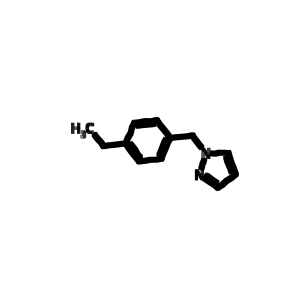 CCc1ccc(Cn2cccn2)cc1